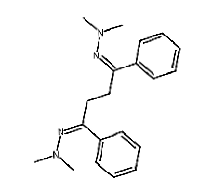 CN(C)/N=C(/CC/C(=N/N(C)C)c1ccccc1)c1ccccc1